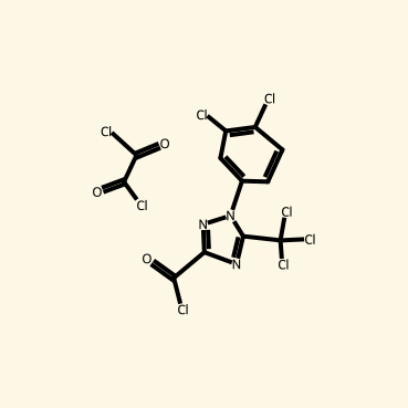 O=C(Cl)C(=O)Cl.O=C(Cl)c1nc(C(Cl)(Cl)Cl)n(-c2ccc(Cl)c(Cl)c2)n1